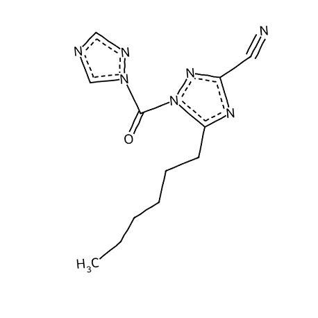 CCCCCCc1nc(C#N)nn1C(=O)n1cncn1